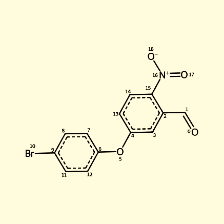 O=Cc1cc(Oc2ccc(Br)cc2)ccc1[N+](=O)[O-]